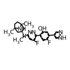 CN(c1cc(F)c(-c2cc(F)c(-c3cn[nH]c3)cc2O)nn1)[C@H]1C[C@]2(C)CC[C@](C)(C1)N2